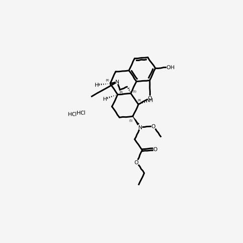 CCOC(=O)CN(OC)[C@H]1CC[C@H]2[C@H]3Cc4ccc(O)c5c4[C@@]2(CCN3C)[C@H]1O5.Cl.Cl